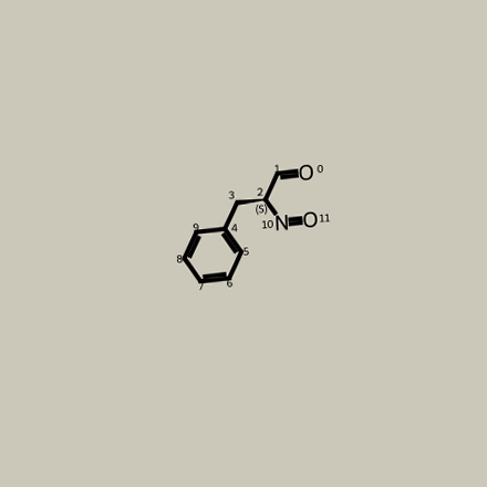 O=C[C@H](Cc1ccccc1)N=O